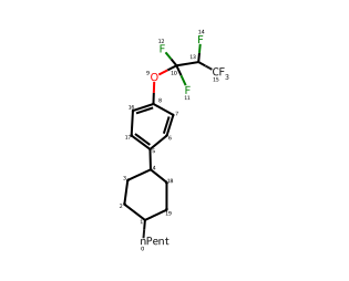 CCCCCC1CCC(c2ccc(OC(F)(F)C(F)C(F)(F)F)cc2)CC1